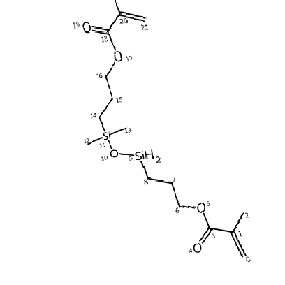 C=C(C)C(=O)OCCC[SiH2]O[Si](C)(C)CCCOC(=O)C(=C)C